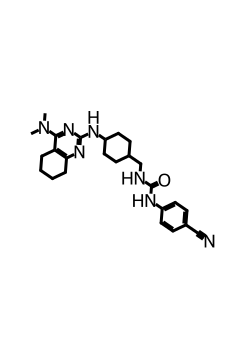 CN(C)c1nc(NC2CCC(CNC(=O)Nc3ccc(C#N)cc3)CC2)nc2c1CCCC2